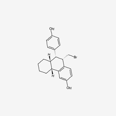 Oc1ccc([C@H]2[C@H]3CCCC[C@H]3c3cc(O)ccc3[C@H]2CBr)cc1